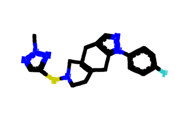 Cn1ncc(SN2CCC3=C(Cc4cnn(-c5ccc(F)cc5)c4C3)C2)n1